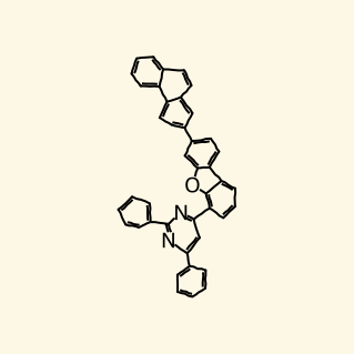 c1ccc(-c2cc(-c3cccc4c3oc3cc(-c5ccc6c(ccc7ccccc76)c5)ccc34)nc(-c3ccccc3)n2)cc1